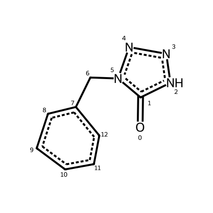 O=c1[nH]nnn1Cc1ccccc1